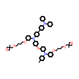 Cc1ccc(N(c2cccc(OCCCCOCC3(C)COC3)c2)c2cccc(Oc3ccc(N(c4ccc(-c5ccc(N(c6ccccc6)c6ccccc6)cc5)cc4)c4cccc(OCCCCOCC5(C)COC5)c4)cc3)c2)cc1